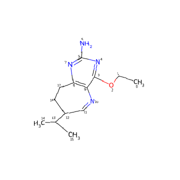 CCOc1nc(N)nc2c1N=CC(C(C)C)CC2